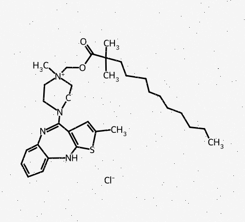 CCCCCCCCCCC(C)(C)C(=O)OC[N+]1(C)CCN(C2=Nc3ccccc3Nc3sc(C)cc32)CC1.[Cl-]